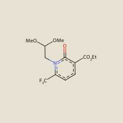 CCOC(=O)c1ccc(C(F)(F)F)n(CC(OC)OC)c1=O